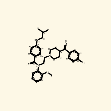 COc1ccccc1N(CCN1CCC(C(=O)c2ccc(F)cc2)CC1)C(=O)c1ccc(NCC(C)C)cc1